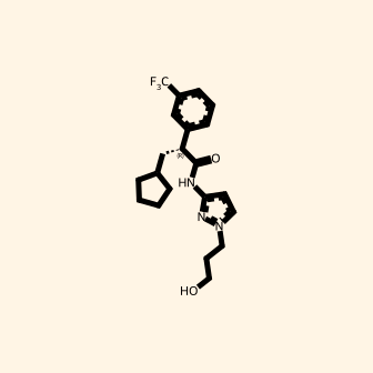 O=C(Nc1ccn(CCCO)n1)[C@H](CC1CCCC1)c1cccc(C(F)(F)F)c1